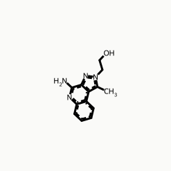 Cc1c2c(nn1CCO)c(N)nc1ccccc12